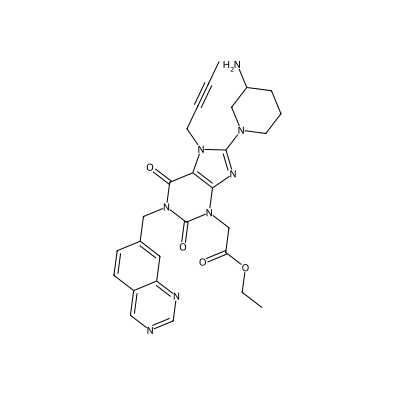 CC#CCn1c(N2CCCC(N)C2)nc2c1c(=O)n(Cc1ccc3cncnc3c1)c(=O)n2CC(=O)OCC